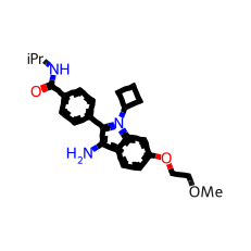 COCCOc1ccc2c(N)c(-c3ccc(C(=O)NC(C)C)cc3)n(C3CCC3)c2c1